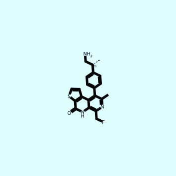 Cc1nc(CF)c2[nH]c(=O)c3sccc3c2c1-c1ccc([C@@H](C)CN)cc1